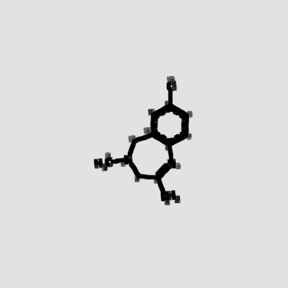 CN1CC(N)=Nc2ccc(Cl)cc2C1